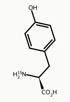 [15NH2][C@@H](Cc1ccc(O)cc1)C(=O)O